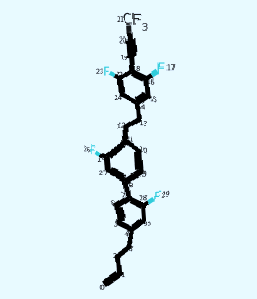 C=CCCc1ccc(-c2ccc(CCc3cc(F)c(C#CC(F)(F)F)c(F)c3)c(F)c2)c(F)c1